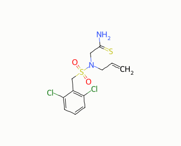 C=CCN(CC(N)=S)S(=O)(=O)Cc1c(Cl)cccc1Cl